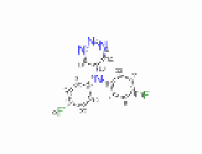 Fc1ccc(N(c2ccc(F)cc2)c2cnnnc2)cc1